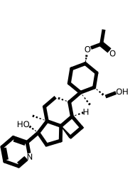 CC(=O)O[C@H]1CC[C@](C)([C@H]2CC[C@@]3(C)[C@@]4(CC[C@H]24)CC[C@@]3(O)c2ccccn2)[C@@H](CO)C1